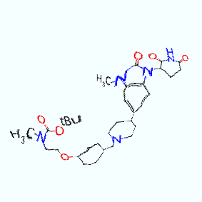 CN(CCOC1CCC(CN2CCC(c3ccc4c(c3)n(C)c(=O)n4C3CCC(=O)NC3=O)CC2)CC1)C(=O)OC(C)(C)C